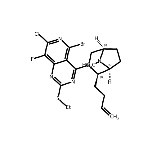 C=CCC[C@@H]1[C@@H]2CC[C@H](CN1c1nc(SCC)nc3c(F)c(Cl)nc(Br)c13)N2C(=O)O